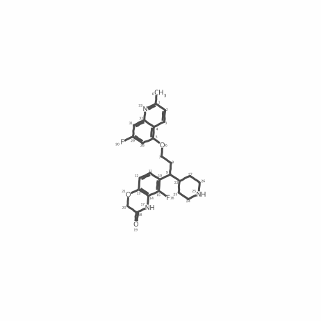 Cc1ccc2c(OCCC(c3ccc4c(c3F)NC(=O)CO4)C3CCNCC3)cc(F)cc2n1